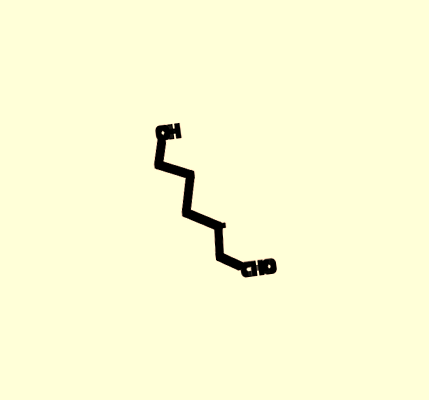 O=CC[CH]CCCO